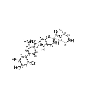 CCc1cc(O)c(F)cc1-c1ccc2c(-c3nc4c([nH]3)CNC(C(=O)N3CCNCC3C)C4)n[nH]c2c1